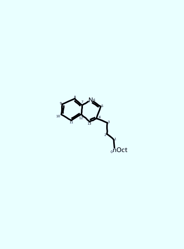 CCCCCCCCCCCc1cnc2ccccc2c1